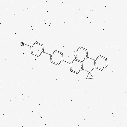 Brc1ccc(-c2ccc(-c3ccc4c5c(cccc35)-c3ccccc3C43CC3)cc2)cc1